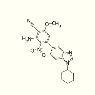 COc1cc(-c2ccc3c(c2)ncn3C2CCCCC2)c([N+](=O)[O-])c(N)c1C#N